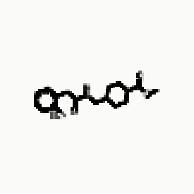 COC(=O)C1CCC(CNC(=O)Cc2ccccc2N)CC1